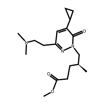 COC(=O)CC[C@H](C)Cn1nc(CCN(C)C)cc(C2CC2)c1=O